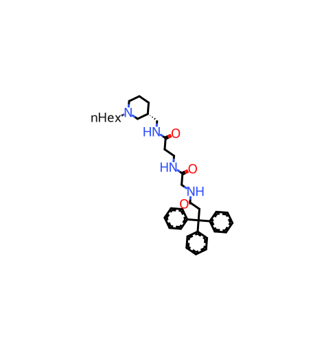 CCCCCCN1CCC[C@H](CNC(=O)CCNC(=O)CNC(=O)CC(c2ccccc2)(c2ccccc2)c2ccccc2)C1